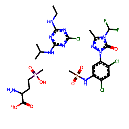 CCNc1nc(Cl)nc(NC(C)C)n1.CP(=O)(O)CCC(N)C(=O)O.Cc1nn(-c2cc(NS(C)(=O)=O)c(Cl)cc2Cl)c(=O)n1C(F)F